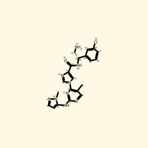 Cc1cnc(Nc2ccnn2C)nc1-n1cnc(C(=O)N[C@H](CN)c2cccc(Cl)c2)c1